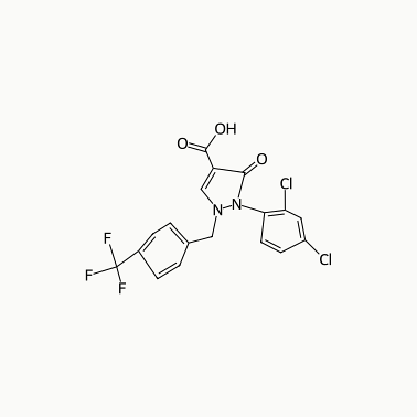 O=C(O)c1cn(Cc2ccc(C(F)(F)F)cc2)n(-c2ccc(Cl)cc2Cl)c1=O